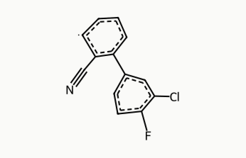 N#Cc1[c]cccc1-c1ccc(F)c(Cl)c1